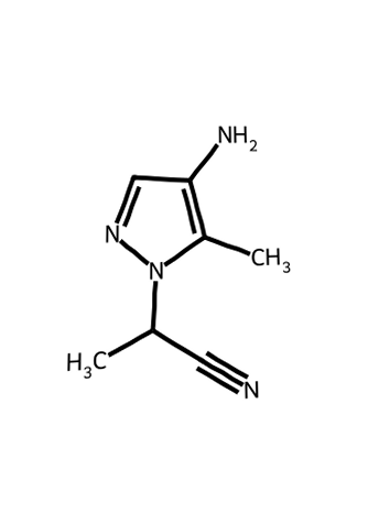 Cc1c(N)cnn1C(C)C#N